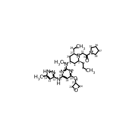 CCC[C@H]1C[C@H](N(C)c2nc(Nc3cc(C)[nH]n3)cc(OC3COC3)n2)C[C@@H](CC)N1CC(=O)N1CCCC1